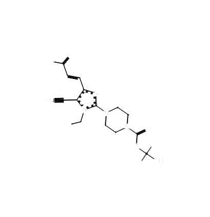 CCn1c(N2CCN(C(=O)OC(C)(C)C)CC2)nc(/C=C/C(=O)O)c1C#N